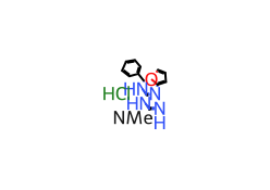 CNC(=N)NC(=Nc1ccco1)NCc1ccccc1.Cl